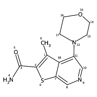 Cc1c(C(N)=O)sc2cncc(N3CCOCC3)c12